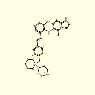 Cc1c(Nc2c(C#N)cncc2/C=C/c2ccc(C[N+]3(C4CCNCC4)CCCCC3)cc2)ccc2[nH]ccc12